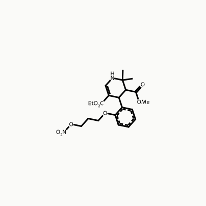 CCOC(=O)C1=CNC(C)(C)C(C(=O)OC)C1c1ccccc1OCCCO[N+](=O)[O-]